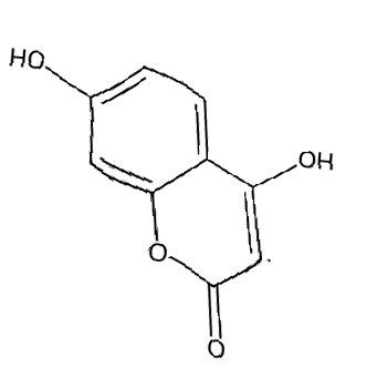 O=c1[c]c(O)c2ccc(O)cc2o1